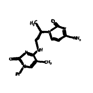 Cc1cn(C(C)C)c(=O)nc1NCC(C)n1ccc(N)nc1=O